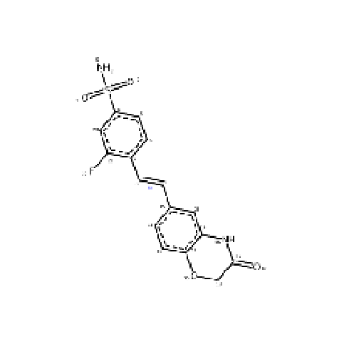 NS(=O)(=O)c1ccc(/C=C/c2ccc3c(c2)NC(=O)CO3)c(F)c1